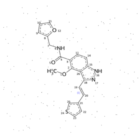 COc1c(C(=O)NCc2ccco2)ccc2[nH]nc(/C=C/c3ccsc3)c12